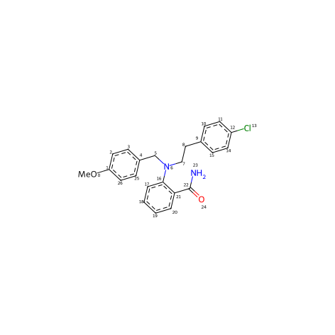 COc1ccc(CN(CCc2ccc(Cl)cc2)c2ccccc2C(N)=O)cc1